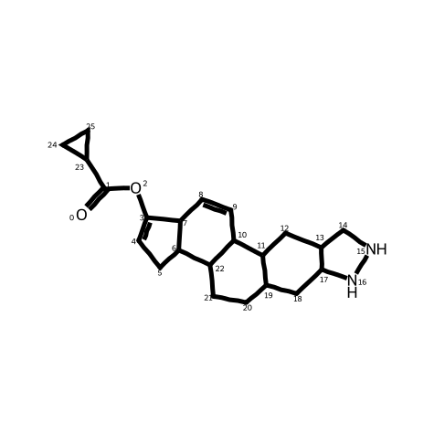 O=C(OC1=CCC2C1C=CC1C3CC4CNNC4CC3CCC12)C1CC1